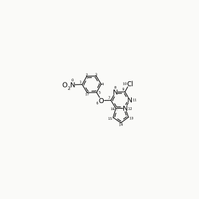 O=[N+]([O-])c1cccc(Oc2nc(Cl)nn3cccc23)c1